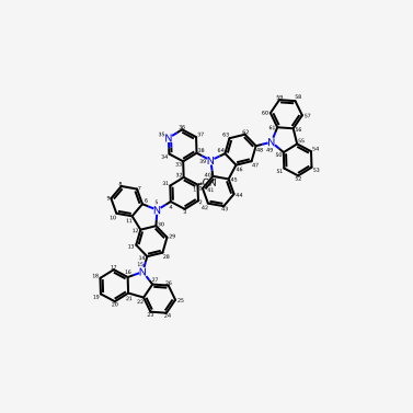 N#Cc1ccc(-n2c3ccccc3c3cc(-n4c5ccccc5c5ccccc54)ccc32)cc1-c1cnccc1-n1c2ccccc2c2cc(-n3c4ccccc4c4ccccc43)ccc21